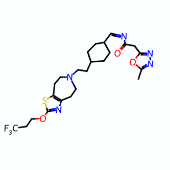 Cc1nnc(CC(=O)/N=C\C2CCC(CCN3CCc4nc(OCCC(F)(F)F)sc4CC3)CC2)o1